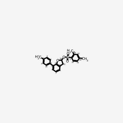 Cc1ccc(-c2cccc3c2OC(OS(=O)(=O)c2ccc(C)cc2C)C3)cc1